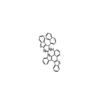 c1ccc2c(C3NC(n4c5ccccc5c5c6c7ccccc7sc6c6ccccc6c54)=Nc4sc5ccccc5c43)cccc2c1